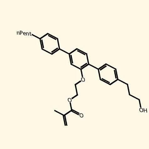 C=C(C)C(=O)OCCOc1cc(-c2ccc(CCCCC)cc2)ccc1-c1ccc(CCCO)cc1